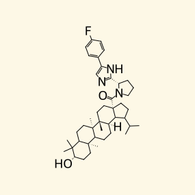 CC(C)C1CC[C@]2(C(=O)N3CCC[C@H]3c3ncc(-c4ccc(F)cc4)[nH]3)CC[C@]3(C)[C@H](CCC4[C@@]5(C)CC[C@H](O)C(C)(C)C5CC[C@]43C)C12